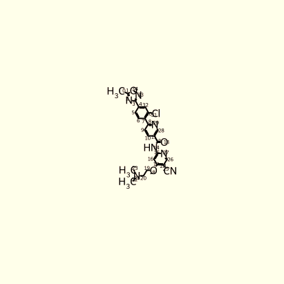 Cc1nc(-c2ccc(-c3ccc(C(=O)Nc4cc(OCCN(C)C)c(C#N)cn4)cn3)c(Cl)c2)no1